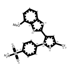 COc1cccc2sc(-c3cc(C(F)(F)F)nn3-c3ccc(S(N)(=O)=O)cc3)nc12